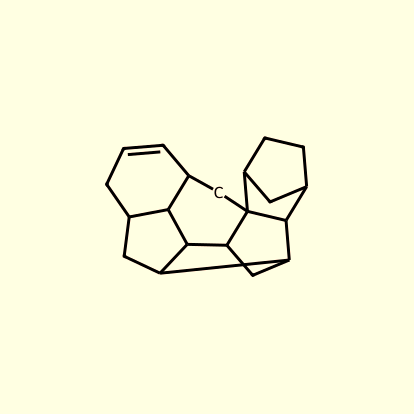 C1=CC2CC34C5CCC(C5)C3C3CC4C4C3CC(C1)C24